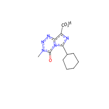 Cn1nnc2c(C(=O)O)nc(C3CCCCC3)n2c1=O